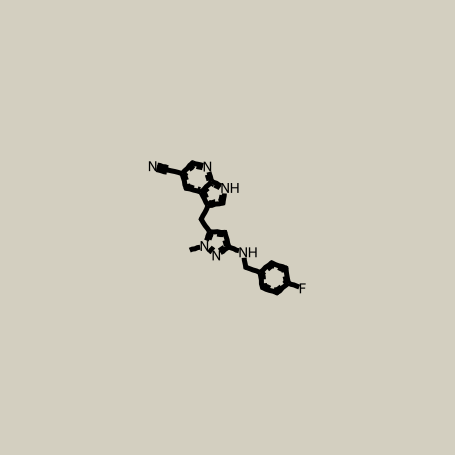 Cn1nc(NCc2ccc(F)cc2)cc1Cc1c[nH]c2ncc(C#N)cc12